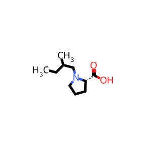 CCC(C)CN1CCC[C@H]1C(=O)O